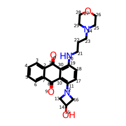 O=C1c2ccccc2C(=O)c2c(N3CC(O)C3)ccc(NCCCN3CCOCC3)c21